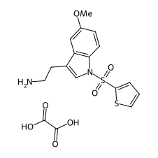 COc1ccc2c(c1)c(CCN)cn2S(=O)(=O)c1cccs1.O=C(O)C(=O)O